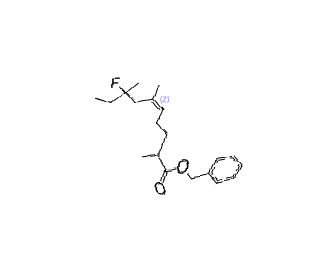 CCC(C)(F)C/C(C)=C\CCC(C)C(=O)OCc1ccccc1